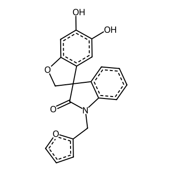 O=C1N(Cc2ccco2)c2ccccc2C12COc1cc(O)c(O)cc12